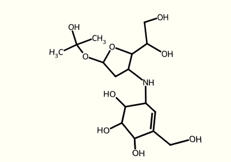 CC(C)(O)OC1CC(NC2C=C(CO)C(O)C(O)C2O)C(C(O)CO)O1